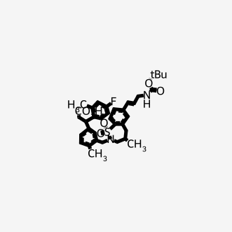 Cc1ccc(C(CC(=O)O)c2ccc(F)cc2C)cc1CN1CC(C)Cc2cc(C=CCNC(=O)OC(C)(C)C)ccc2S1(=O)=O